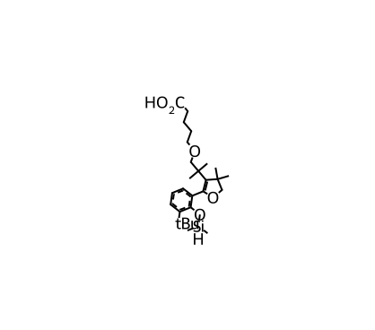 C[SiH](C)Oc1c(C2=C(C(C)(C)COCCCCC(=O)O)C(C)(C)CO2)cccc1C(C)(C)C